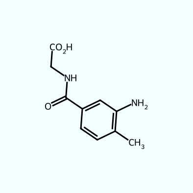 Cc1ccc(C(=O)NCC(=O)O)cc1N